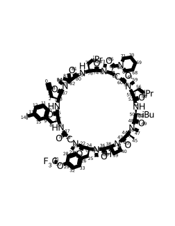 C#CC[C@@H]1NC(=O)[C@H](Cc2cccc(I)c2)NC(=O)CN(C)C(=O)[C@H](Cc2ccc(OC(F)(F)F)cc2)N(C)C(=O)[C@@H]2CCN2C(=O)[C@H](C)N(C)C(=O)[C@H]([C@@H](C)CC)NC(=O)[C@H](CC(C)C)N(C)C(=O)C[C@@H](C(=O)N2CCCCC2)N(C)C(=O)[C@H](CC(C)C)NC(=O)C(C)(C)N(C)C1=O